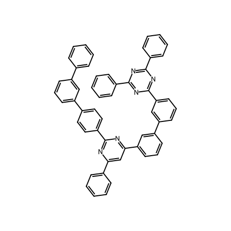 c1ccc(-c2cccc(-c3ccc(-c4nc(-c5ccccc5)cc(-c5cccc(-c6cccc(-c7nc(-c8ccccc8)nc(-c8ccccc8)n7)c6)c5)n4)cc3)c2)cc1